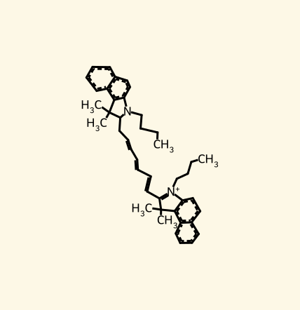 CCCCN1c2ccc3ccccc3c2C(C)(C)C1CC=CC=CC=CC1=[N+](CCCC)c2ccc3ccccc3c2C1(C)C